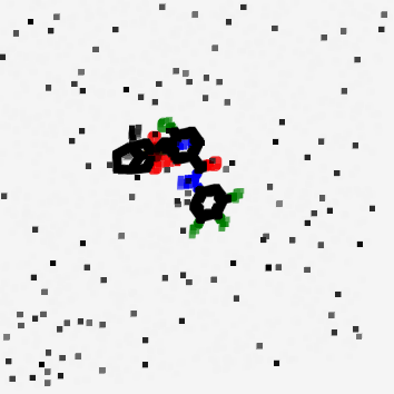 NC[C@@]1(O)CC2CC[C@@H](C1)C2S(=O)(=O)c1cc(C(=O)Nc2cc(F)c(F)c(F)c2)ccc1Cl